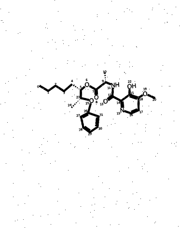 CCCCC[C@H](OC(=O)[C@H](C)NC(=O)c1nccc(OC)c1O)[C@@H](C)Oc1ccccc1